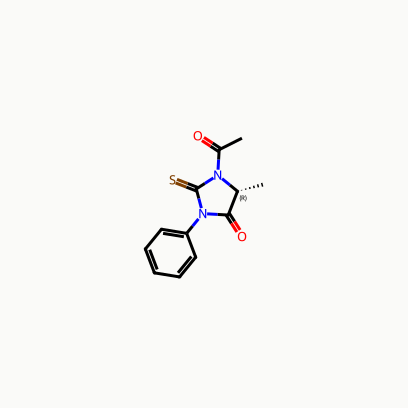 CC(=O)N1C(=S)N(c2ccccc2)C(=O)[C@H]1C